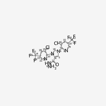 NNC(=O)C1=CN(c2ncc(C(F)(F)F)cc2Cl)CN1c1ncc(C(F)(F)F)cc1Cl